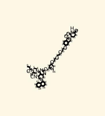 C=CC(=O)N1CCN(c2nc(OC[C@@H]3C[C@@H](OCCOCCOCCOc4ccc5c(c4)CN(C4CCC(=O)NC4=O)C5=O)CN3C)nc3c2CCN(c2cccc4ccccc24)C3)C[C@@H]1CC#N